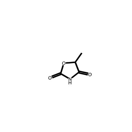 CC1OC(=O)NC1=O